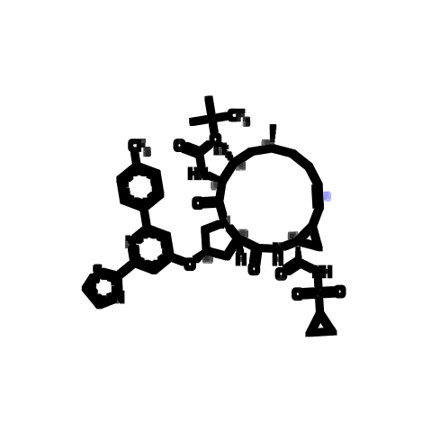 CC[C@@H]1C[C@H](C)CC/C=C\C2C[C@@]2(C(=O)NS(=O)(=O)C2CC2)NC(=O)[C@@H]2C[C@@H](Oc3cc(-c4ccc(C(F)(F)F)cc4)nc(-c4nccs4)c3)CN2C(=O)[C@H]1NC(=O)OC(C)(C)C(F)(F)F